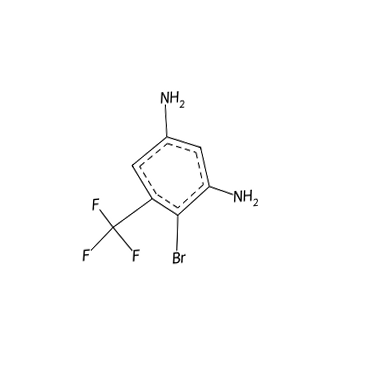 Nc1cc(N)c(Br)c(C(F)(F)F)c1